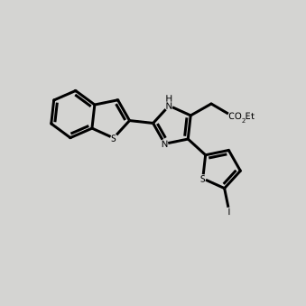 CCOC(=O)Cc1[nH]c(-c2cc3ccccc3s2)nc1-c1ccc(I)s1